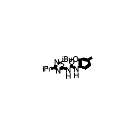 Cc1ccc(NC(=O)Nc2nc(C(C)C)ns2)c(OCC(C)C)c1